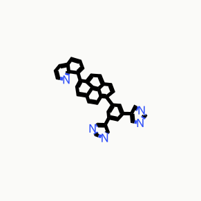 c1cnc2c(-c3ccc4ccc5c(-c6cc(-c7cncnc7)cc(-c7cncnc7)c6)ccc6ccc3c4c65)cccc2c1